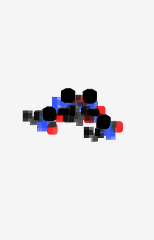 CNc1cc(NC(=O)/C(=N/Nc2ccccc2OCOc2ccccc2N/N=C(\C(C)=O)C(=O)Nc2ccc(NC)c(NC=O)c2)C(C)=O)ccc1NC=O